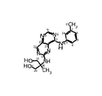 Cc1cccc(Nc2ncnc3cnc(NC(C)(CO)CO)nc23)c1